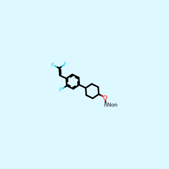 CCCCCCCCCOC1CCC(c2ccc(C=C(F)F)c(F)c2)CC1